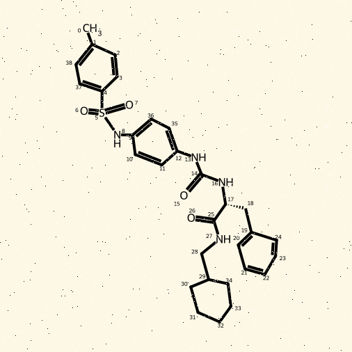 Cc1ccc(S(=O)(=O)Nc2ccc(NC(=O)N[C@H](Cc3ccccc3)C(=O)NCC3CCCCC3)cc2)cc1